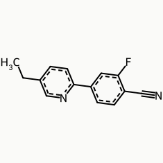 CCc1ccc(-c2ccc(C#N)c(F)c2)nc1